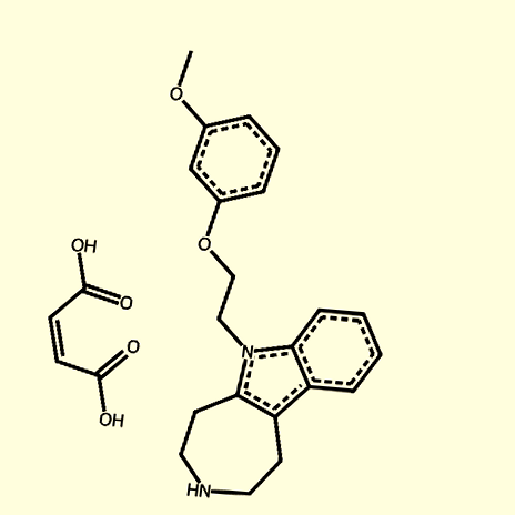 COc1cccc(OCCn2c3c(c4ccccc42)CCNCC3)c1.O=C(O)/C=C\C(=O)O